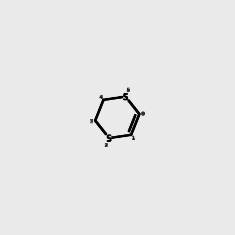 C1=CSCCS1